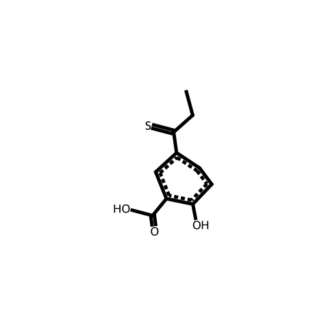 CCC(=S)c1ccc(O)c(C(=O)O)c1